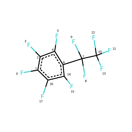 Fc1c(F)c(F)c(C(F)(F)C(F)(F)F)c(F)c1F